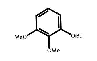 COc1cccc(OCC(C)C)c1OC